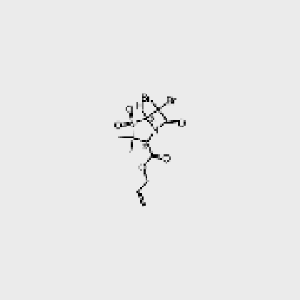 C=CCOC(=O)[C@@H]1N2C(=O)C(Br)(Br)[C@H]2S(=O)(=O)C1(C)C